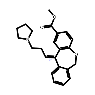 COC(=O)c1ccc2c(c1)/C(=C\CCN1CCCC1)c1ccccc1CO2